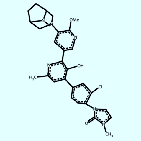 COc1ncc(-c2nc(C)cc(-c3ccc(-n4ccn(C)c4=O)c(Cl)c3)c2O)cc1N1CC2CCC(C1)N2C(C)C